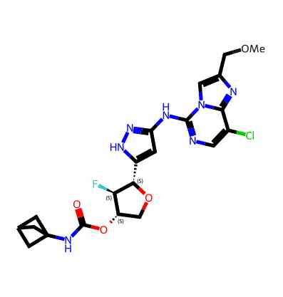 COCc1cn2c(Nc3cc([C@@H]4OC[C@H](OC(=O)NC56CC(C5)C6)[C@H]4F)[nH]n3)ncc(Cl)c2n1